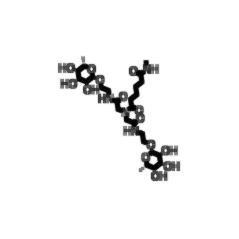 CNC(=O)CCCCC(=O)N(CC(=O)NCCO[C@@H]1O[C@@H](C)[C@@H](O)[C@@H](O)[C@@H]1O)CC(=O)NCCO[C@@H]1O[C@@H](C)[C@@H](O)[C@@H](O)[C@@H]1O